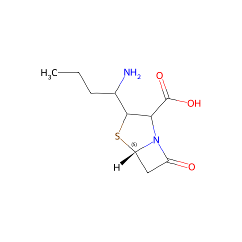 CCCC(N)C1S[C@H]2CC(=O)N2C1C(=O)O